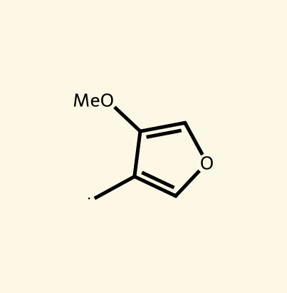 [CH2]c1cocc1OC